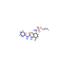 CCCS(=O)(=O)Nc1ccc(F)c(NC(=O)Nc2ccncn2)c1F